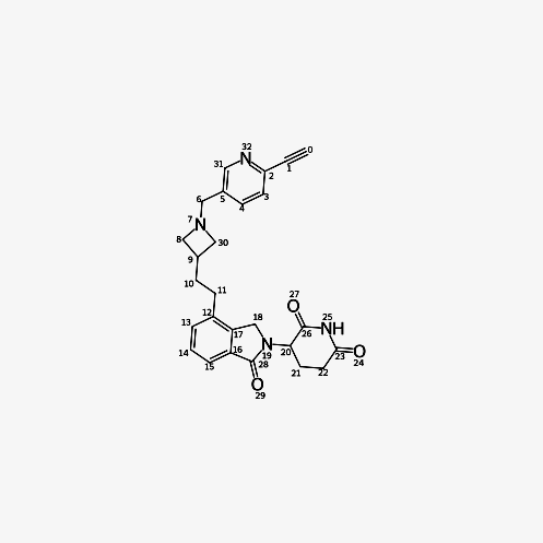 C#Cc1ccc(CN2CC(CCc3cccc4c3CN(C3CCC(=O)NC3=O)C4=O)C2)cn1